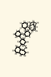 c1ccc(-c2cccc3c2-c2ccccc2C32C3CC4CC(C3)CC2C4)c(-c2ccc3c(c2)-c2cccc4cccc(c24)S3)c1